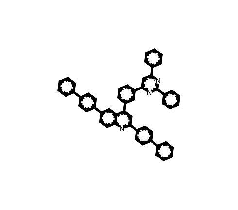 c1ccc(-c2ccc(-c3ccc4nc(-c5ccc(-c6ccccc6)cc5)cc(-c5cccc(-c6cc(-c7ccccc7)nc(-c7ccccc7)n6)c5)c4c3)cc2)cc1